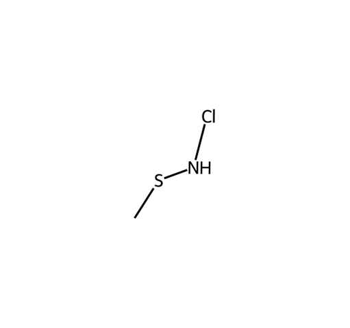 CSNCl